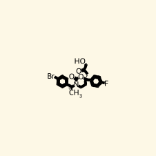 C[C@@H](c1ccc(Br)cc1)N1CC[C@](CC(=O)CO)(c2ccc(F)cc2)OC1=O